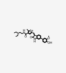 CCN(CC)CCNC(=O)c1cc(C=C2C(=O)Nc3cc(-c4ccc(O)c(OC)c4)ccc32)[se]c1C